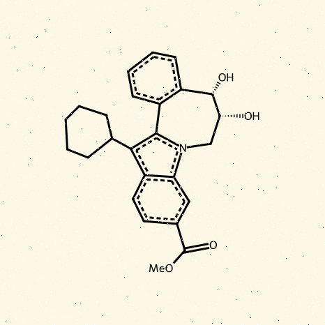 COC(=O)c1ccc2c(C3CCCCC3)c3n(c2c1)C[C@@H](O)[C@@H](O)c1ccccc1-3